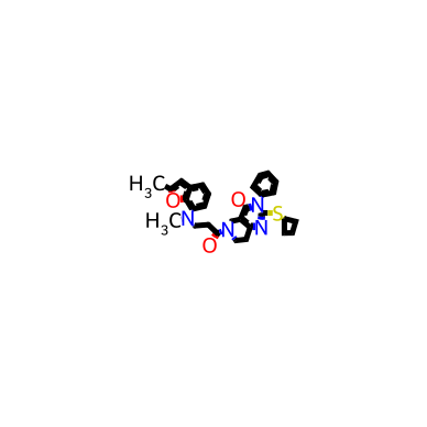 Cc1cc2cccc(N(C)CCC(=O)N3CCc4nc(SC5CCC5)n(-c5ccccc5)c(=O)c4C3)c2o1